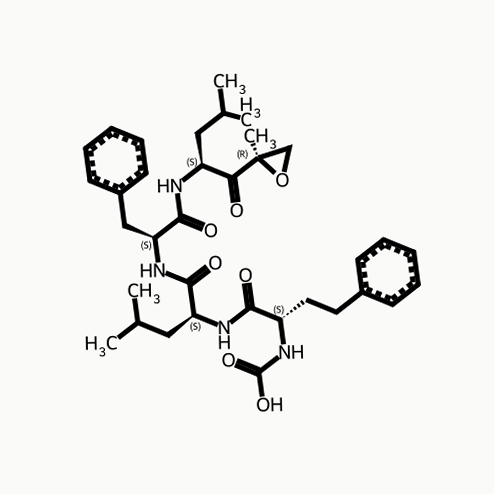 CC(C)C[C@H](NC(=O)[C@H](CCc1ccccc1)NC(=O)O)C(=O)N[C@@H](Cc1ccccc1)C(=O)N[C@@H](CC(C)C)C(=O)[C@@]1(C)CO1